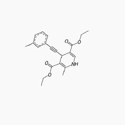 CCOC(=O)C1=CNC(C)=C(C(=O)OCC)C1C#Cc1cccc(C)c1